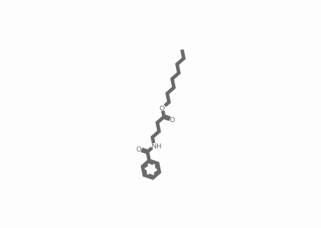 CCCCCCCCOC(=O)CCCNC(=O)c1ccccc1